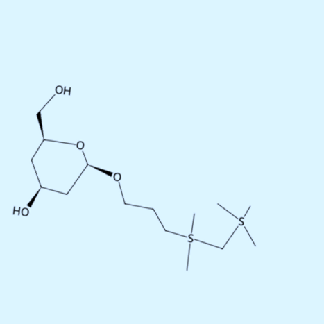 CS(C)(C)CS(C)(C)CCCO[C@H]1C[C@@H](O)C[C@@H](CO)O1